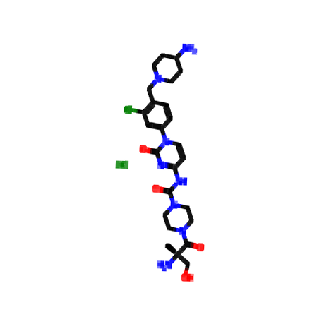 C[C@](N)(CO)C(=O)N1CCN(C(=O)Nc2ccn(-c3ccc(CN4CCC(N)CC4)c(Cl)c3)c(=O)n2)CC1.Cl